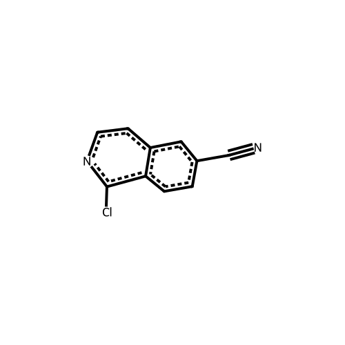 N#Cc1ccc2c(Cl)nccc2c1